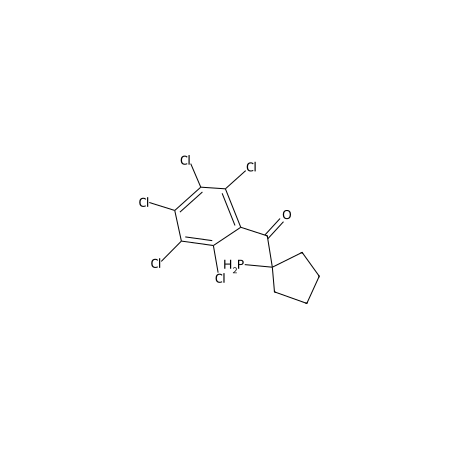 O=C(c1c(Cl)c(Cl)c(Cl)c(Cl)c1Cl)C1(P)CCCC1